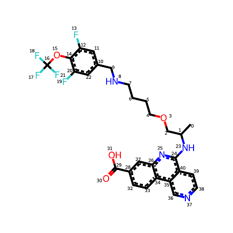 CC(COCCCCNCc1cc(F)c(OC(F)(F)F)c(F)c1)Nc1nc2cc(C(=O)O)ccc2c2cnccc12